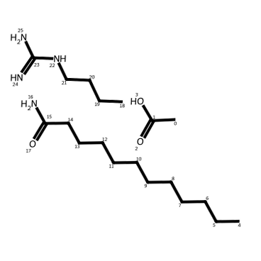 CC(=O)O.CCCCCCCCCCCC(N)=O.CCCCNC(=N)N